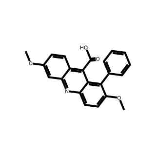 COc1ccc2c(C(=O)O)c3c(-c4ccccc4)c(OC)ccc3nc2c1